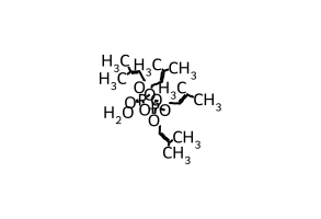 CC(C)=CCOP(=O)(OCC=C(C)C)OP(=O)(OCC=C(C)C)OCC=C(C)C.O